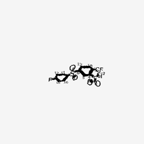 O=S(=O)(Cl)c1cc(S(=O)(=O)c2ccc(F)cc2)ccc1C(F)(F)F